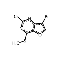 CSc1nc(Cl)nc2c(Br)coc12